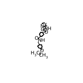 CC(C)Oc1ccc(CNC(=O)c2ccc(S(=O)(=O)Nc3nccs3)cc2)cc1